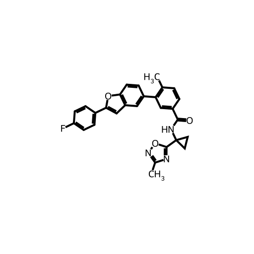 Cc1noc(C2(NC(=O)c3ccc(C)c(-c4ccc5oc(-c6ccc(F)cc6)cc5c4)c3)CC2)n1